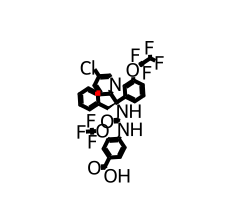 O=C(Nc1ccc(C(=O)O)cc1OC(F)(F)F)N[C@@](Cc1ccccc1)(c1cccc(OC(F)(F)C(F)F)c1)c1ccc(Cl)cn1